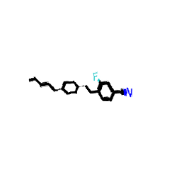 CCCCC[C@H]1CC[C@H](CCc2ccc(C#N)cc2F)CC1